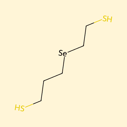 SCCC[Se]CCS